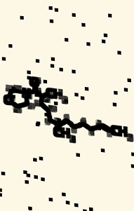 CC=CCCCCC(C)CCCC(C)C(=O)N1CCOCC1